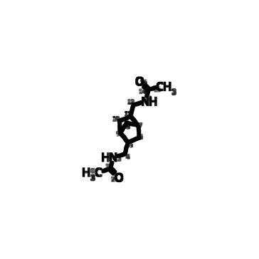 CC(=O)NCC1CC2CC1CC2CNC(C)=O